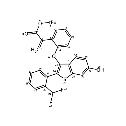 C=C(C(=O)OC(C)(C)C)c1ccccc1Oc1c(-c2ccccc2C(F)F)sc2cc(O)ccc12